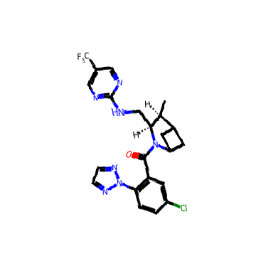 C[C@H]1C2CC(C2)N(C(=O)c2cc(Cl)ccc2-n2nccn2)[C@H]1CNc1ncc(C(F)(F)F)cn1